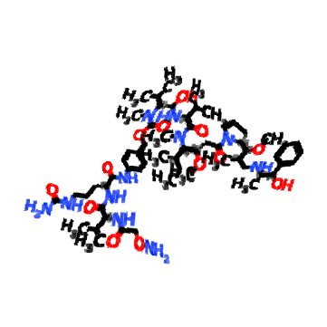 CC[C@H](C)[C@H]([C@H](CC(=O)N1CCC[C@@H]1[C@@H](OC)[C@H](C)CN[C@@H](C)[C@H](O)c1ccccc1)OC)N(C)C(=O)[C@H](NC(O)[C@@H](C(C)C)N(C)C(=O)OCc1ccc(NC(=O)[C@@H](CCCNC(N)=O)NC(=O)[C@H](NC(=O)CON)C(C)C)cc1)C(C)C